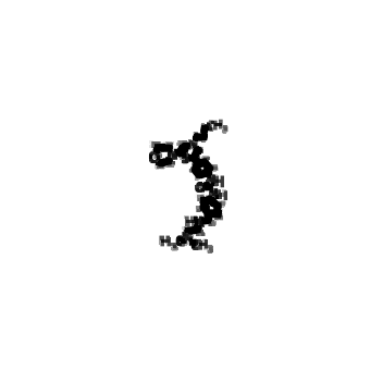 CCCCN1C=C(c2ccc(NC(=O)Nc3ccc(CNCCN(C)C)cc3)cc2)SC(N2CCOCC2)=C1